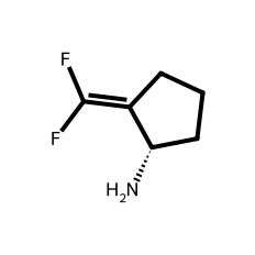 N[C@H]1CCCC1=C(F)F